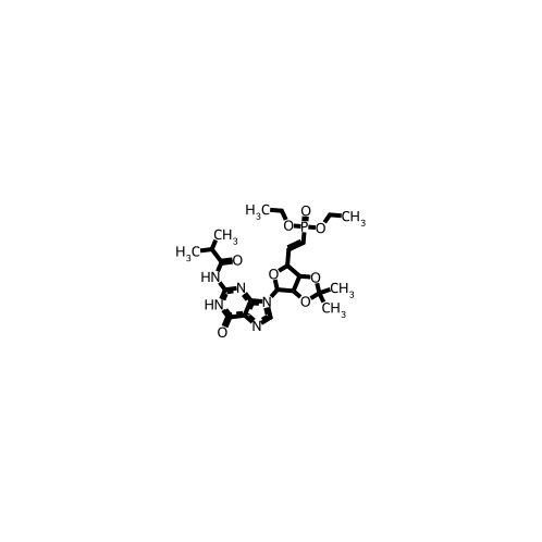 CCOP(=O)(C=CC1OC(n2cnc3c(=O)[nH]c(NC(=O)C(C)C)nc32)C2OC(C)(C)OC12)OCC